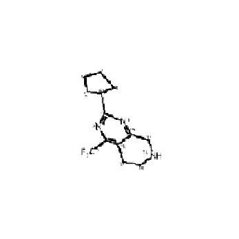 FC(F)(F)c1nc(C2CCCC2)nc2c1CCNC2